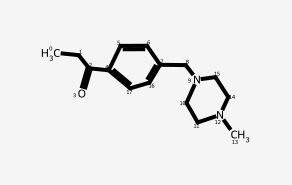 CCC(=O)c1ccc(CN2CCN(C)CC2)cc1